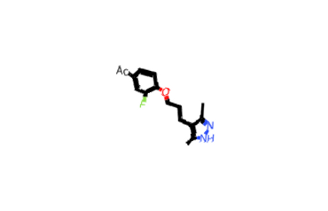 CC(=O)c1ccc(OCCCc2c(C)n[nH]c2C)c(F)c1